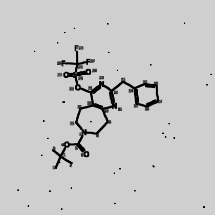 CC(C)(C)OC(=O)N1CCc2nc(Cc3ccccc3)nc(OS(=O)(=O)C(F)(F)F)c2CC1